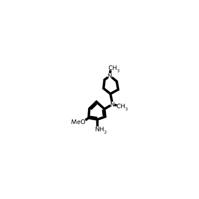 COc1ccc(N(C)C2CCN(C)CC2)cc1N